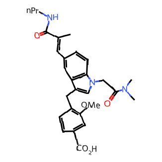 CCCNC(=O)/C(C)=C/c1ccc2c(c1)c(Cc1ccc(C(=O)O)cc1OC)cn2CC(=O)N(C)C